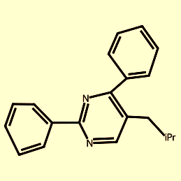 CC(C)Cc1cnc(-c2ccccc2)nc1-c1ccccc1